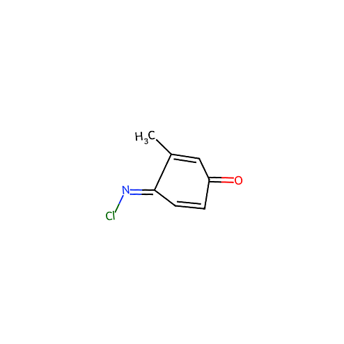 CC1=CC(=O)C=CC1=NCl